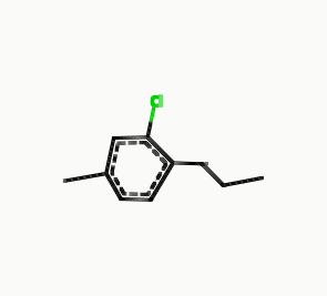 CC[CH]c1ccc(C)cc1Cl